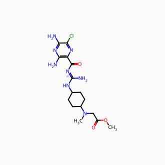 COC(=O)CN(C)C1CCC(N/C(N)=N/C(=O)c2nc(Cl)c(N)nc2N)CC1